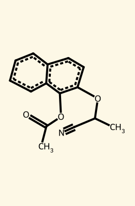 CC(=O)Oc1c(OC(C)C#N)ccc2ccccc12